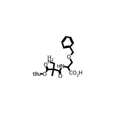 CC(C)(C)OC(=O)C(C)(CN)C(=O)NC(COCc1ccccc1)C(=O)O